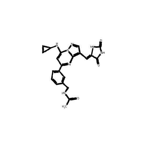 CC(=O)NCc1cccc(-c2cc(NC3CC3)n3ncc(C=C4NC(=O)NC4=O)c3n2)c1